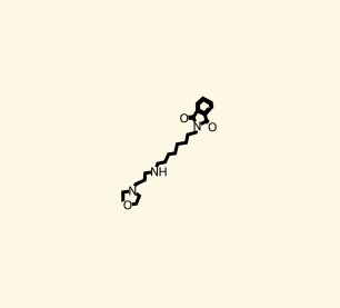 O=C1c2ccccc2C(=O)N1CCCCCCCCNCCCN1CCOCC1